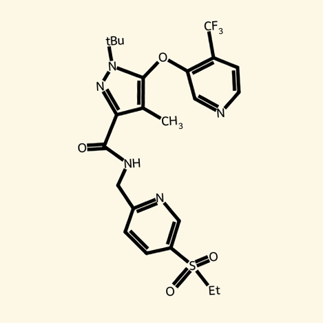 CCS(=O)(=O)c1ccc(CNC(=O)c2nn(C(C)(C)C)c(Oc3cnccc3C(F)(F)F)c2C)nc1